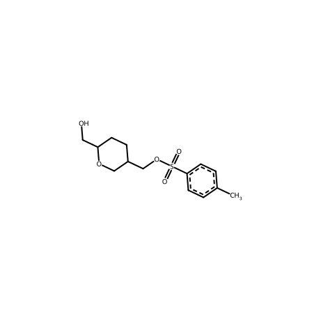 Cc1ccc(S(=O)(=O)OCC2CCC(CO)OC2)cc1